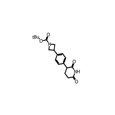 CC(C)(C)OC(=O)N1CC(c2ccc(C3CCC(=O)NC3=O)cc2)C1